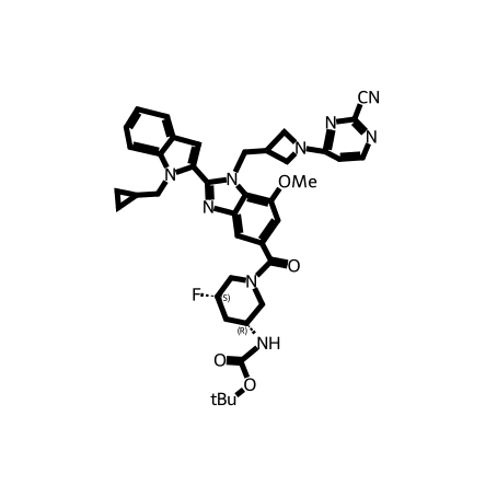 COc1cc(C(=O)N2C[C@@H](F)C[C@@H](NC(=O)OC(C)(C)C)C2)cc2nc(-c3cc4ccccc4n3CC3CC3)n(CC3CN(c4ccnc(C#N)n4)C3)c12